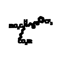 CCOC(=O)CCCCCCC(NCCC(=O)COc1cccc(C(F)(F)F)c1)C(=O)OCC